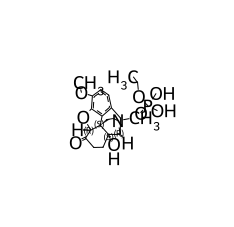 CCOP(=O)(O)O.COc1ccc2c3c1O[C@H]1C(=O)CC[C@@]4(O)[C@@H](C2)N(C)CC[C@]314